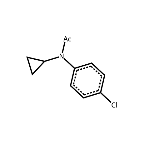 CC(=O)N(c1ccc(Cl)cc1)C1CC1